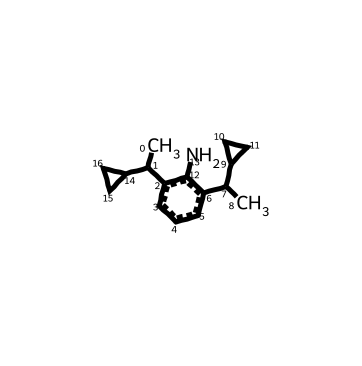 CC(c1cccc(C(C)C2CC2)c1N)C1CC1